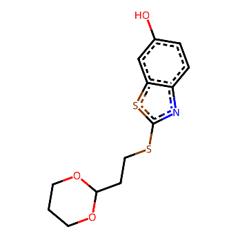 Oc1ccc2nc(SCCC3OCCCO3)sc2c1